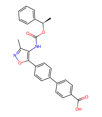 Cc1noc(-c2ccc(-c3ccc(C(=O)O)cc3)cc2)c1NC(=O)O[C@H](C)c1ccccc1